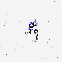 C[C@@H](O)c1nc2cnc3[nH]ncc3c2n1[C@H]1CCN(CCCC(F)(F)F)C1